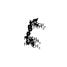 COC(=O)N[C@H](C(=O)N1[C@@H]2C[C@@H]2C[C@H]1c1ncc(-c2ccc(-c3ccc4cc(-c5cnc(C6CC7CC7N6C(=O)OC(C)(C)C)[nH]5)ccc4c3)cc2)[nH]1)C(C)C